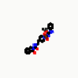 COC(=NS(=O)(=O)N1CCC(CCNC(=O)N2Cc3ccccc3C2=O)CC1)NC1CCCCC1